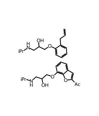 C=CCc1ccccc1OCC(O)CNC(C)C.CC(=O)c1cc2cccc(OCC(O)CNC(C)C)c2o1